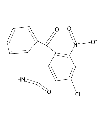 N=C=O.O=C(c1ccccc1)c1ccc(Cl)cc1[N+](=O)[O-]